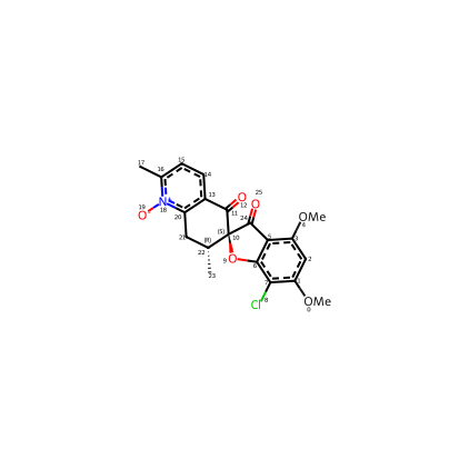 COc1cc(OC)c2c(c1Cl)O[C@@]1(C(=O)c3ccc(C)[n+]([O-])c3C[C@H]1C)C2=O